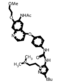 COCCOc1cc2nccc(Oc3ccc(NC(=O)Nc4cc(C(C)(C)C)nn4CCN(C)C)cc3)c2cc1NC(C)=O